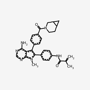 C=C(C)C(=O)Nc1ccc(-c2c(-c3ccc(C(=O)N4CCC5CC5C4)cc3)c3c(N)ncnc3n2C)cc1